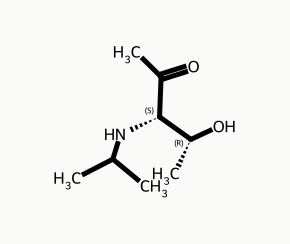 CC(=O)[C@@H](NC(C)C)[C@@H](C)O